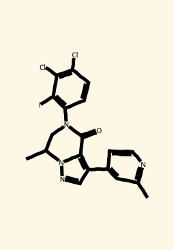 Cc1cc(-c2cnn3c2C(=O)N(c2ccc(Cl)c(Cl)c2I)CC3C)ccn1